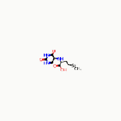 C[Se]CC[C@H](Nc1c[nH]c(=O)[nH]c1=O)C(=O)O